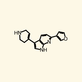 C1=C(c2c[nH]c3nc(-c4ccoc4)ccc23)CCNC1